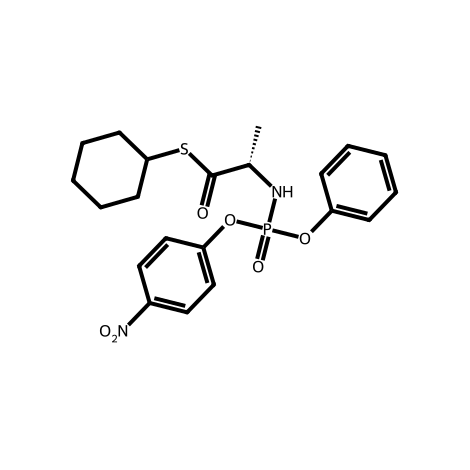 C[C@H](NP(=O)(Oc1ccccc1)Oc1ccc([N+](=O)[O-])cc1)C(=O)SC1CCCCC1